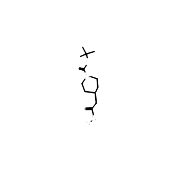 CC(C)(C)OC(=O)N1CCC(CC(=O)NN)CC1